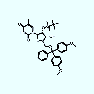 COc1ccc(C(OC[C@H]2O[C@@H](n3cc(C)c(=O)[nH]c3=O)[C@H](O[Si](C)(C)C(C)(C)C)[C@@H]2O)(c2ccccc2)c2ccc(OC)cc2)cc1